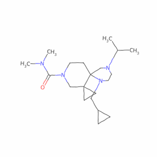 CC(C)N1CCN(CC2CC2)C2(CCN(C(=O)N(C)C)CC23CC3)C1